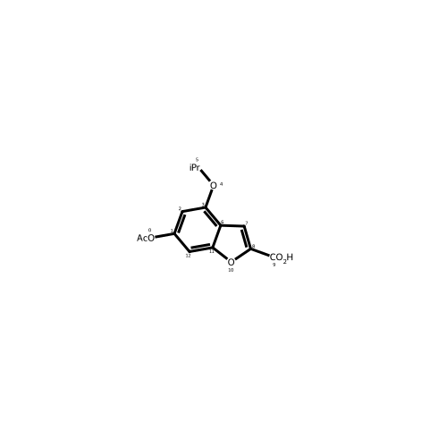 CC(=O)Oc1cc(OC(C)C)c2cc(C(=O)O)oc2c1